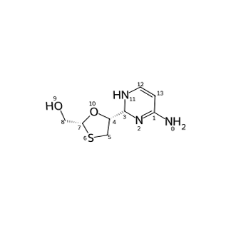 NC1=NC([C@@H]2CS[C@H](CO)O2)NC=C1